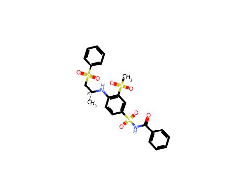 C[C@H](CS(=O)(=O)c1ccccc1)Nc1ccc(S(=O)(=O)NC(=O)c2ccccc2)cc1S(C)(=O)=O